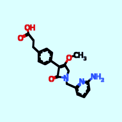 COC1=C(c2ccc(CCC(=O)O)cc2)C(=O)N(Cc2cccc(N)n2)C1